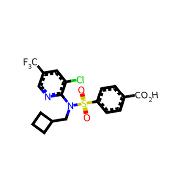 O=C(O)c1ccc(S(=O)(=O)N(CC2CCC2)c2ncc(C(F)(F)F)cc2Cl)cc1